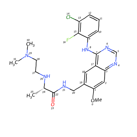 COc1cc2ncnc(Nc3cccc(Cl)c3F)c2cc1CNC(=O)[C@H](C)NCCN(C)C